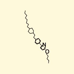 CCCCCCCCC1CCC(CCc2ccc(-c3ccc(OCCCCC)cn3)cc2)CC1